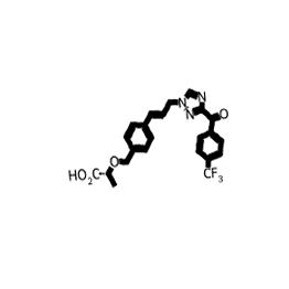 C[C@@H](OCc1ccc(/C=C/Cn2cnc(C(=O)c3ccc(C(F)(F)F)cc3)n2)cc1)C(=O)O